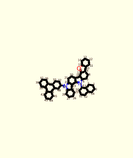 c1ccc2c(-n3c4ccc5c6ccccc6oc5c4c4ccc5c(c6ccccc6n5-c5ccc6c7ccccc7c7ccccc7c6c5)c43)cccc2c1